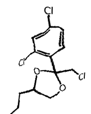 CCCC1COC(CCl)(c2ccc(Cl)cc2Cl)O1